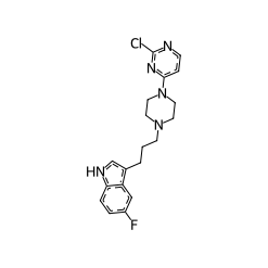 Fc1ccc2[nH]cc(CCCN3CCN(c4ccnc(Cl)n4)CC3)c2c1